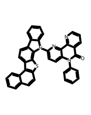 O=c1c2cccnc2c2nc(-n3c4ccccc4c4ccc5c(sc6ccc7ccccc7c65)c43)ccc2n1-c1ccccc1